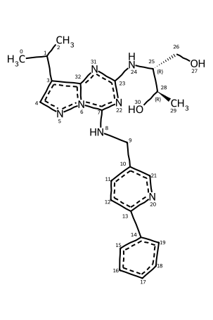 CC(C)c1cnn2c(NCc3ccc(-c4ccccc4)nc3)nc(N[C@H](CO)[C@@H](C)O)nc12